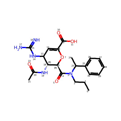 CCCN(C(=O)[C@@H]1OC(C(=O)O)=CC(NC(=N)N)[C@H]1NC(C)=O)C(C)c1ccccc1